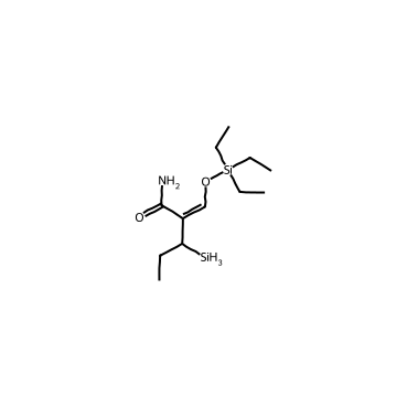 CCC([SiH3])C(=CO[Si](CC)(CC)CC)C(N)=O